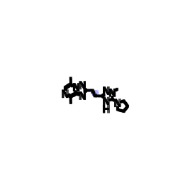 Cc1ncc(C)n2nc(/C=C/C3=NN(C)C(N4CCCC4)N3)nc12